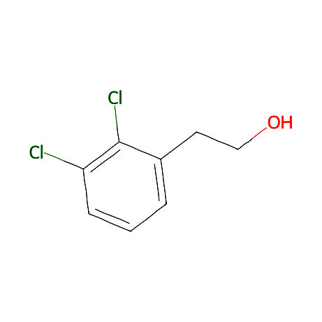 OCCc1cccc(Cl)c1Cl